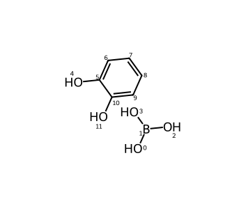 OB(O)O.Oc1ccccc1O